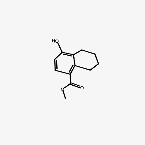 COC(=O)c1ccc(O)c2c1CCCC2